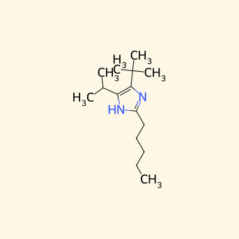 CCCCCc1nc(C(C)(C)C)c(C(C)C)[nH]1